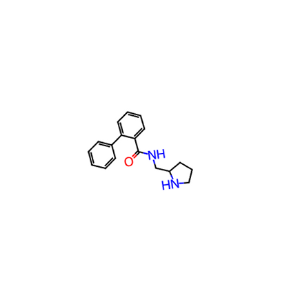 O=C(NCC1CCCN1)c1ccccc1-c1ccccc1